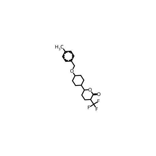 Cc1ccc(COC2CCC(C3CCC(C(F)(F)F)C(=O)O3)CC2)cc1